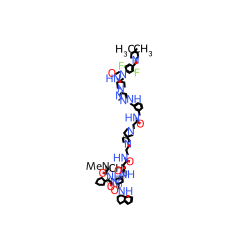 CN[C@@H](C)C(=O)N[C@H](C(=O)N1C[C@@H](NC(=O)CCC(=O)NCCCN2CC[C@]3(CCN(CCC(=O)NCc4cccc(CNc5cc(N6CCC7(CC6)CN(c6cc(F)c(CN8CCC(C)(C)CC8)cc6F)CC(=O)N7)ncn5)c4)C3)C2)C[C@H]1C(=O)NC1CCCc2ccccc21)C1CCCCC1